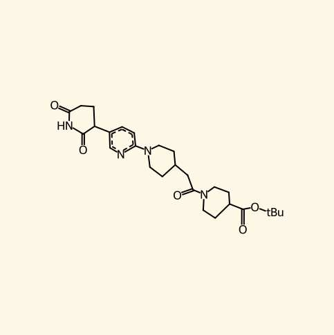 CC(C)(C)OC(=O)C1CCN(C(=O)CC2CCN(c3ccc(C4CCC(=O)NC4=O)cn3)CC2)CC1